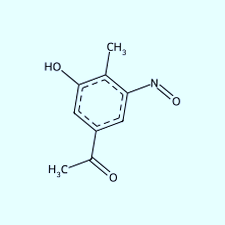 CC(=O)c1cc(O)c(C)c(N=O)c1